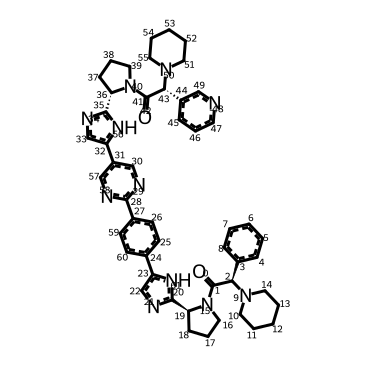 O=C([C@@H](c1ccccc1)N1CCCCC1)N1CCC[C@H]1c1ncc(-c2ccc(-c3ncc(-c4cnc([C@@H]5CCCN5C(=O)[C@@H](c5cccnc5)N5CCCCC5)[nH]4)cn3)cc2)[nH]1